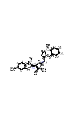 CCc1ccc2c(c1)S/C(=c1/s/c(=C\c3scc[n+]3Cc3ccccc3OC(F)(F)F)n(CC)c1=O)N2C